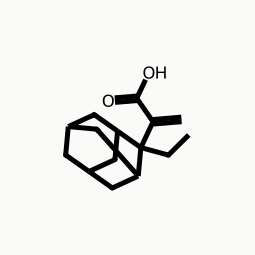 C=C(C(=O)O)C1(CC)C2CC3CC(C2)CC1C3